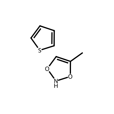 CC1=CONO1.c1ccsc1